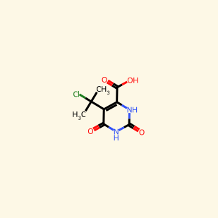 CC(C)(Cl)c1c(C(=O)O)[nH]c(=O)[nH]c1=O